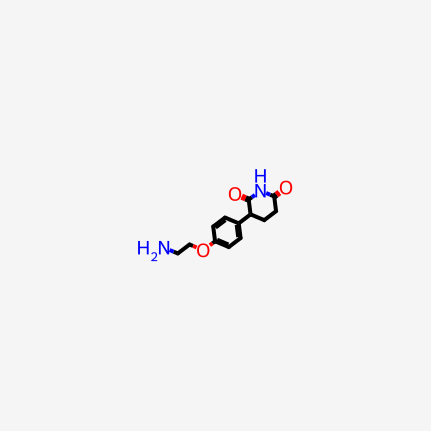 NCCOc1ccc(C2CCC(=O)NC2=O)cc1